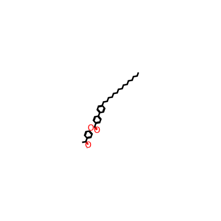 CCCCCCCCCCCCCCCc1ccc(-c2ccc(C(=O)Oc3ccc(C(C)OC)cc3)cc2)cc1